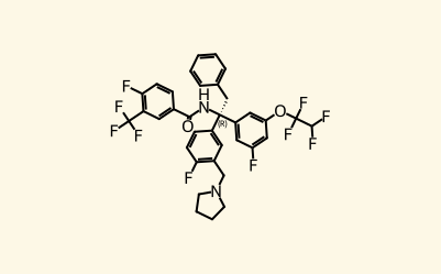 O=C(N[C@@](Cc1ccccc1)(c1cc(F)cc(OC(F)(F)C(F)F)c1)c1ccc(F)c(CN2CCCC2)c1)c1ccc(F)c(C(F)(F)F)c1